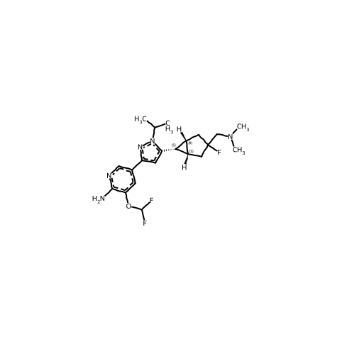 CC(C)n1nc(-c2cnc(N)c(OC(F)F)c2)cc1[C@@H]1[C@@H]2CC(F)(CN(C)C)C[C@@H]21